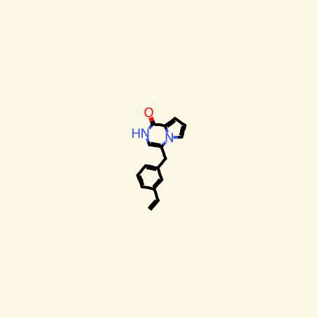 C=Cc1cccc(Cc2c[nH]c(=O)c3cccn23)c1